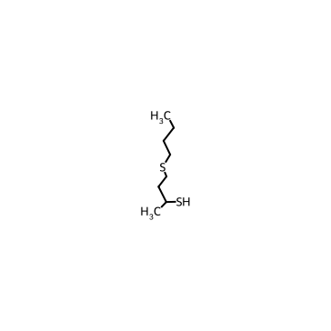 CCCCSCCC(C)S